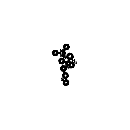 CC12C3=C(C=CCC=C3)N(c3cc(-c4ccccc4)nc(-c4ccccc4)n3)c3ccccc3C1N(c1cccc(C3=Cc4sc5ccccc5c4CC3)c1)[C@@H]1C=CC=CC12